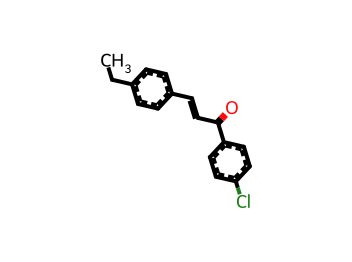 CCc1ccc(/C=C/C(=O)c2ccc(Cl)cc2)cc1